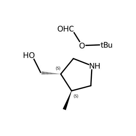 CC(C)(C)OC=O.C[C@@H]1CNC[C@H]1CO